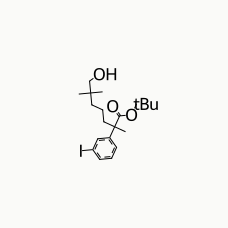 CC(C)(CO)CCCC(C)(C(=O)OC(C)(C)C)c1cccc(I)c1